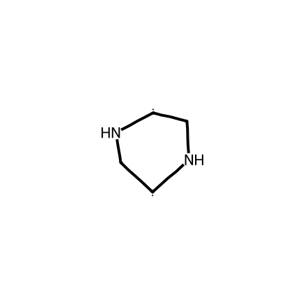 [CH]1CN[CH]CN1